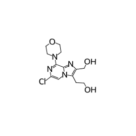 OCCc1c(CO)nc2c(N3CCOCC3)nc(Cl)cn12